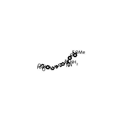 COc1cccc(Oc2ccc(-c3nn(C4CC5CN(C6CN(C7CCN(c8ccc(N9CCC(=O)NC9=O)cc8)C7)C6)CC5C4)c4ncnc(N)c34)cc2)c1F